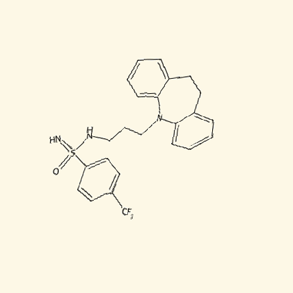 N=S(=O)(NCCCN1c2ccccc2CCc2ccccc21)c1ccc(C(F)(F)F)cc1